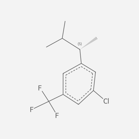 CC(C)[C@H](C)c1cc(Cl)cc(C(F)(F)F)c1